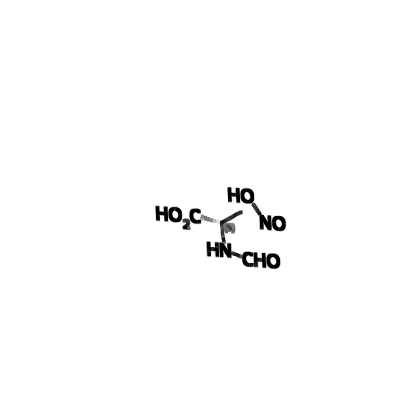 C[C@H](NC=O)C(=O)O.O=NO